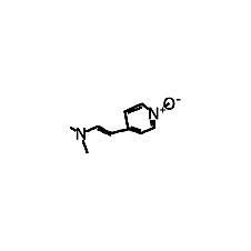 CN(C)C=Cc1cc[n+]([O-])cc1